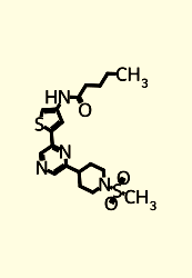 CCCCC(=O)Nc1csc(-c2cncc(C3CCN(S(C)(=O)=O)CC3)n2)c1